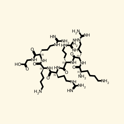 N=C(N)NCCC[C@H](NC(=O)[C@H](CCCCN)NC(=O)[C@H](CCCNC(=N)N)NC(=O)[C@H](CCCNC(=N)N)NC(=O)[C@H](CCCNC(=N)N)NC(=O)[C@@H](N)CCCCN)C(=O)NCC(=O)O